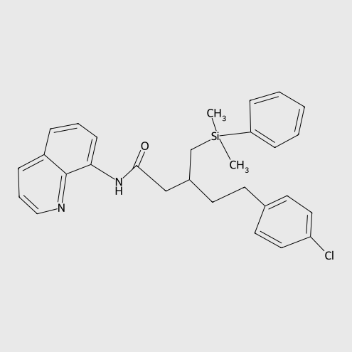 C[Si](C)(CC(CCc1ccc(Cl)cc1)CC(=O)Nc1cccc2cccnc12)c1ccccc1